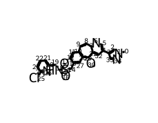 Cn1cc(-c2cnc3ccc4ccc(CS(=O)(=O)NCc5cccc(Cl)n5)cc4c(=O)c3c2)cn1